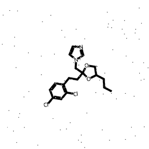 CCCC1COC(CCc2ccc(Cl)cc2Cl)(Cn2ccnc2)O1